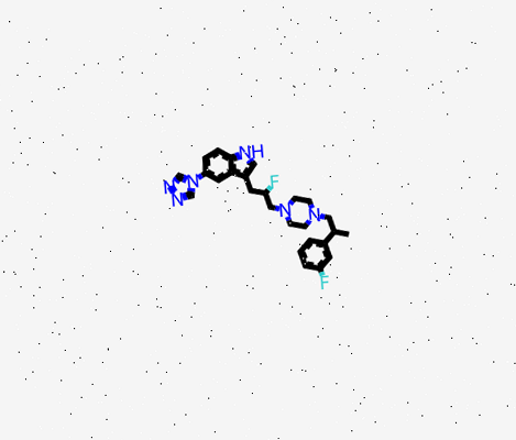 CC(CN1CCN(CC(F)Cc2c[nH]c3ccc(-n4cnnc4)cc23)CC1)c1cccc(F)c1